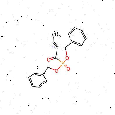 C/C=C/C(=O)P(=O)(OCc1ccccc1)OCc1ccccc1